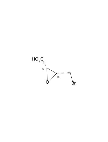 O=C(O)[C@H]1O[C@H]1CBr